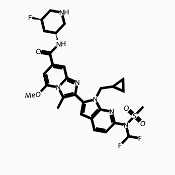 COc1cc(C(=O)N[C@H]2CNC[C@H](F)C2)cc2nc(-c3cc4ccc(N(C(F)F)S(C)(=O)=O)nc4n3CC3CC3)c(C)n12